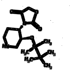 CC(C)(C)[Si](C)(C)O[C@H]1CNCC[C@@H]1N1C(=O)COC1=O